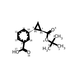 CC(C)(C)OC(=O)[C@@H]1C[C@H]1c1cccc(C(=O)O)c1